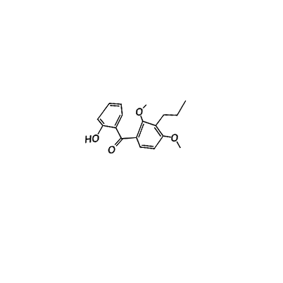 CCCc1c(OC)ccc(C(=O)c2ccccc2O)c1OC